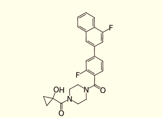 O=C(c1ccc(-c2cc(F)c3ccccc3c2)cc1F)N1CCN(C(=O)C2(O)CC2)CC1